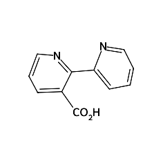 O=C(O)c1cccnc1-c1ccccn1